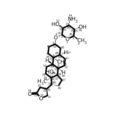 C[C@H]1O[C@H](O[C@H]2CC[C@@]3(C)[C@H](CC[C@@H]4[C@@H]3CC[C@]3(C)[C@@H]([C@H]5COC(=O)C5)CC[C@]43O)C2)[C@@H](O)[C@H](N)[C@@H]1O